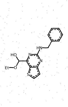 CCOC(O)c1nc(NCc2ccccc2)nc2ccsc12